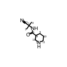 CC(C)(C#N)NC(=O)C1CCCNC1